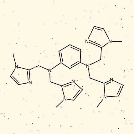 Cn1ccnc1CN(Cc1nccn1C)c1cccc(N(Cc2nccn2C)Cc2nccn2C)c1